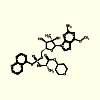 COc1nc(N)nc2c1ncn2C1O[C@H](COP(=O)(N[C@@H](C)C(=O)OC2CCOCC2)Oc2cccc3ncccc23)[C@@H](O)[C@@]1(C)O